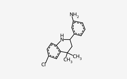 CC1(C)CC(c2cccc(N)c2)Nc2ccc(Cl)cc21